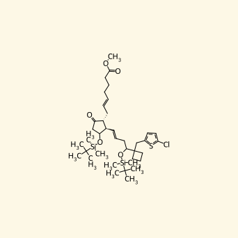 COC(=O)CCCC=CC[C@H]1C(=O)CC(O[Si](C)(C)C(C)(C)C)[C@@H]1C=CCC(O[Si](C)(C)C(C)(C)C)C1(Cc2ccc(Cl)s2)CCC1